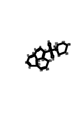 O=S(=O)(c1ccc2cccc3c2c1CC=C3)N1CCCCC1